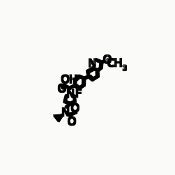 COc1cnc2cc(-c3ccc(C(C(=O)O)N4CCC5(CC4)CN(C4CC4)C(=O)CO5)c(F)c3)ccc2c1